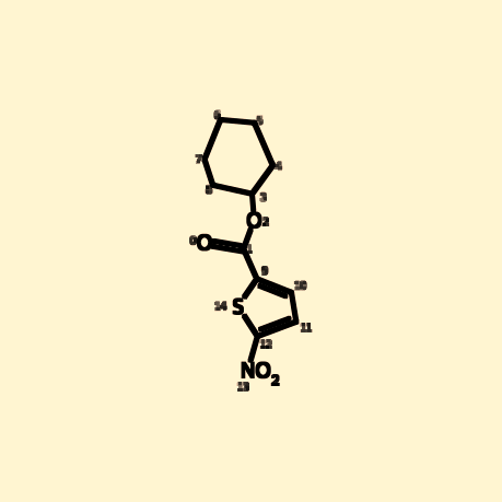 O=C(OC1CCCCC1)c1ccc([N+](=O)[O-])s1